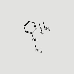 CN.CN.CN.Oc1ccccc1